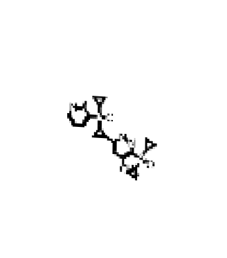 Cc1cc(C2CC2P(=O)(c2cccnc2I)C2CC2)nnc1P(=O)(C1CC1)C1CC1